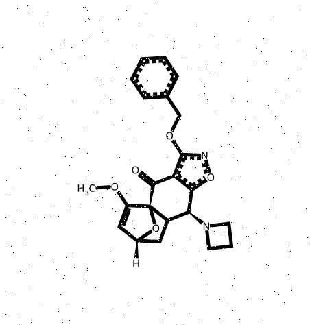 COC1=C[C@H]2CC3[C@H](N4CCC4)c4onc(OCc5ccccc5)c4C(=O)[C@@]13O2